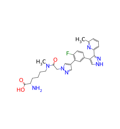 Cc1cccc(-c2n[nH]cc2-c2ccc(F)c(-c3cnn(CC(=O)N(C)CCCC[C@H](N)C(=O)O)c3)c2)n1